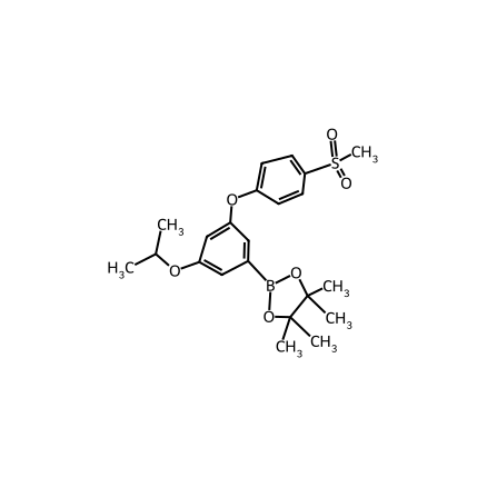 CC(C)Oc1cc(Oc2ccc(S(C)(=O)=O)cc2)cc(B2OC(C)(C)C(C)(C)O2)c1